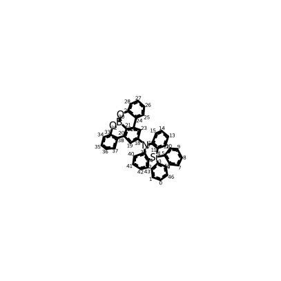 c1ccc([Si]2(c3ccccc3)c3ccccc3N(c3cc4c5c(c3)-c3ccccc3OB5Oc3ccccc3-4)c3ccccc32)cc1